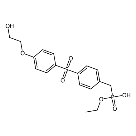 CCOP(=O)(O)Cc1ccc(S(=O)(=O)c2ccc(OCCO)cc2)cc1